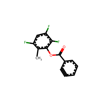 Cc1c(F)cc(F)c(F)c1OC(=O)c1c#cccc1